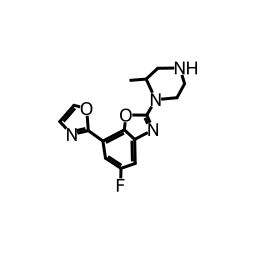 CC1CNCCN1c1nc2cc(F)cc(-c3ncco3)c2o1